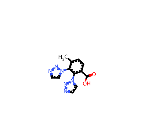 Cc1ccc(C(=O)O)c(-n2ccnn2)c1-n1ccnn1